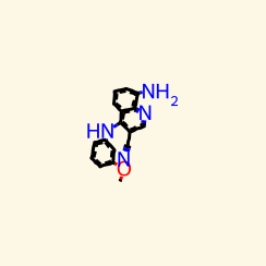 COc1cccc(Nc2c(C#N)cnc3c(N)cccc23)c1